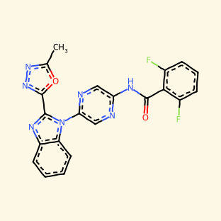 Cc1nnc(-c2nc3ccccc3n2-c2cnc(NC(=O)c3c(F)cccc3F)cn2)o1